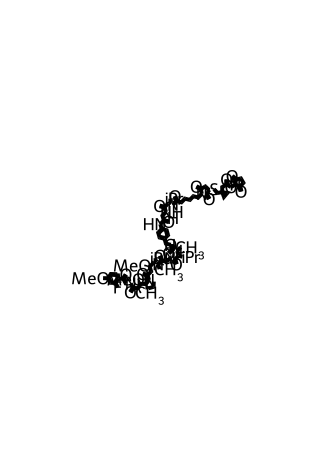 CC[C@H](C)C([C@@H](CC(=O)N1CCC[C@H]1[C@H](OC)[C@@H](C)C(=O)NCC(=O)c1ccc(OC)cc1F)OC)N(C)C(=O)CNC(=O)C(C(C)C)N(C)C(=O)OCc1ccc(NC(=O)CNC(=O)C(NC(=O)CCCCCN2C(=O)CC(SCC3(CC(=O)ON4C(=O)CCC4=O)CC3)C2=O)C(C)C)cc1